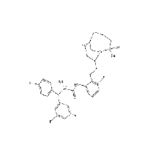 N[C@H](C(=O)Nc1cccc(F)c1CCC1CNC2CCCS(O)(O)N1C2)C(c1ccc(F)cc1)c1cc(F)cc(F)c1